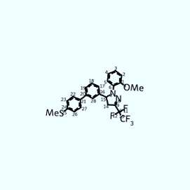 COc1ccccc1N1N=C(C(F)(F)C(F)(F)F)CC1c1cccc(-c2ccc(SC)cc2)c1